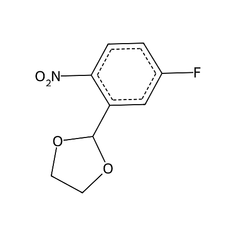 O=[N+]([O-])c1ccc(F)cc1C1OCCO1